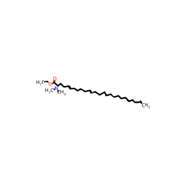 CCCCCCCCCCCCCCCCCCCC/C=C/CCC(C(=O)OCC)N(C)C